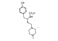 C[C@@H]1CN(C)CCN1CC[C@@H](Cc1ccc(C#N)cc1)NC(=O)O